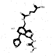 CCNC(=O)Nc1cc2c(-c3ccncc3)ccc(CNC(=O)OCCC(=O)OC)c2cn1.Cl